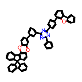 c1ccc(-c2nc(-c3ccc(-c4cccc5c4oc4ccccc45)cc3)nc(-c3cccc(-c4ccc5c(c4)Oc4ccc6c(c4O5)-c4ccccc4C6(c4ccccc4)c4ccccc4)c3)n2)cc1